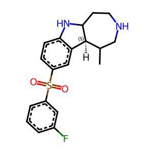 CC1CNCCC2Nc3ccc(S(=O)(=O)c4cccc(F)c4)cc3[C@H]12